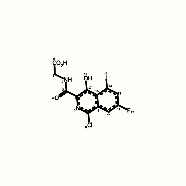 O=C(O)CNC(=O)c1nc(Cl)c2cc(F)cc(I)c2c1O